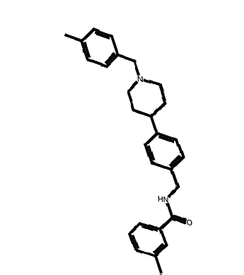 Cc1ccc(CN2CCC(c3ccc(CNC(=O)c4cccc(C)c4)cc3)CC2)cc1